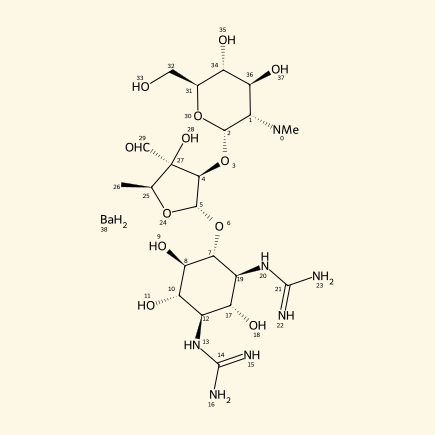 CN[C@@H]1[C@H](O[C@H]2[C@H](O[C@H]3[C@H](O)[C@@H](O)[C@H](NC(=N)N)[C@@H](O)[C@@H]3NC(=N)N)O[C@@H](C)[C@]2(O)C=O)O[C@@H](CO)[C@H](O)[C@H]1O.[BaH2]